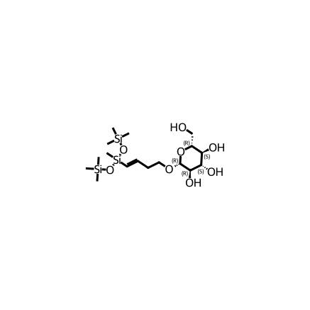 C[Si](C)(C)O[Si](C)(C=CCCO[C@@H]1O[C@H](CO)[C@@H](O)[C@H](O)[C@H]1O)O[Si](C)(C)C